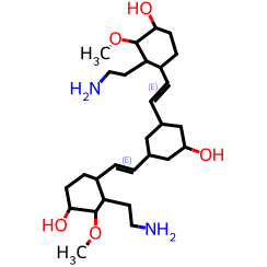 COC1C(O)CCC(/C=C/C2CC(O)CC(/C=C/C3CCC(O)C(OC)C3CCN)C2)C1CCN